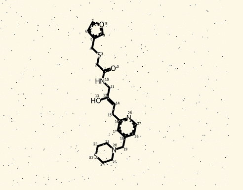 O=C(CSCc1ccoc1)NCC(O)=CCc1cc(CN2CCSCC2)ccn1